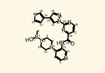 CB(O)N1CCN(c2ccncc2NC(=O)c2ccnc(-n3cc(-c4ccsc4)cn3)n2)CC1